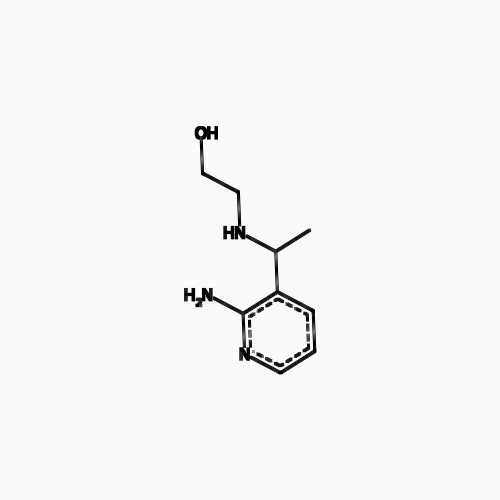 CC(NCCO)c1cccnc1N